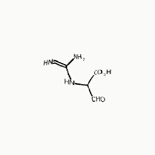 N=C(N)NC(C=O)C(=O)O